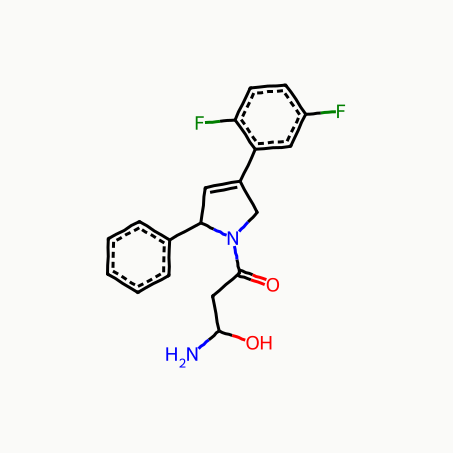 NC(O)CC(=O)N1CC(c2cc(F)ccc2F)=CC1c1ccccc1